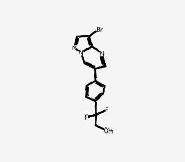 OCC(F)(F)c1ccc(-c2cnc3c(Br)cnn3c2)cc1